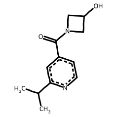 CC(C)c1cc(C(=O)N2CC(O)C2)ccn1